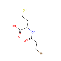 O=C(CCBr)NC(CCS)C(=O)O